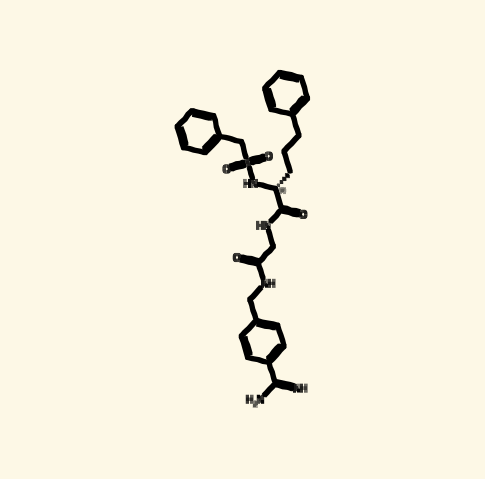 N=C(N)c1ccc(CNC(=O)CNC(=O)[C@@H](CCCc2ccccc2)NS(=O)(=O)Cc2ccccc2)cc1